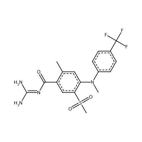 Cc1cc(N(C)c2ccc(C(F)(F)F)cc2)c(S(C)(=O)=O)cc1C(=O)N=C(N)N